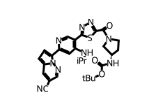 CC(C)Nc1cc(-c2ccc3cc(C#N)cnn23)ncc1-c1nnc(C(=O)N2CC[C@H](NC(=O)OC(C)(C)C)C2)s1